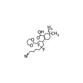 CC1(C)CCC(C(CCC2OCCCO2)CC(F)(F)CCCCC#N)=C(C(=O)O)C1